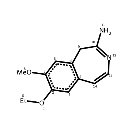 CCOc1cc2c(cc1OC)CC(N)=NC=C2